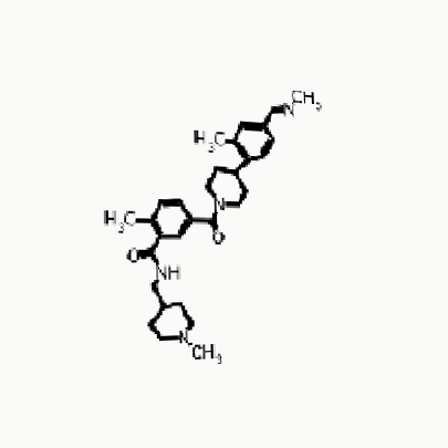 CN=Cc1ccc(C2CCN(C(=O)c3ccc(C)c(C(=O)NCC4CCN(C)CC4)c3)CC2)c(C)c1